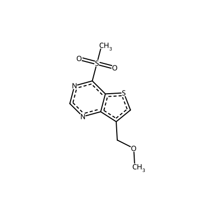 COCc1csc2c(S(C)(=O)=O)ncnc12